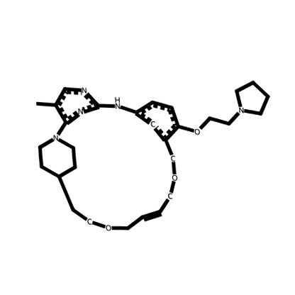 Cc1cnc2nc1N1CCC(CCOC/C=C/COCc3cc(ccc3OCCN3CCCC3)N2)CC1